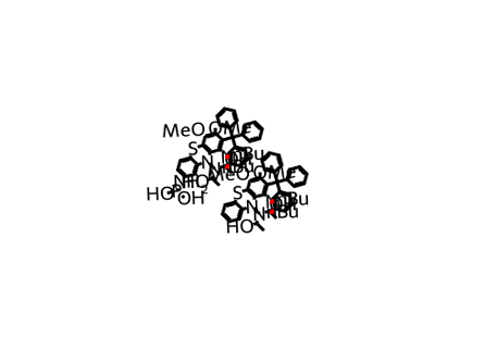 CCCCN(CCCC)c1c2c(c(OC)c(OC)c1C(c1ccccc1)(c1ccccc1)c1ccccc1)Sc1ccccc1N2N(C(C)O)C(C)O.CCCCN(CCCC)c1c2c(c(OC)c(OC)c1C(c1ccccc1)(c1ccccc1)c1ccccc1)Sc1ccccc1N2N(C(C)O)C(C)O.NP(O)O